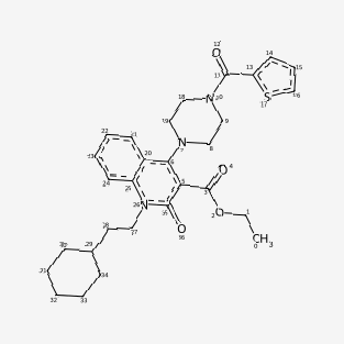 CCOC(=O)c1c(N2CCN(C(=O)c3cccs3)CC2)c2ccccc2n(CCC2CCCCC2)c1=O